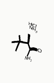 C=C(C(N)=O)C(C)(C)C.Cl.N